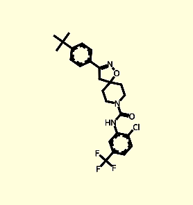 CC(C)(C)c1ccc(C2=NOC3(CCN(C(=O)Nc4cc(C(F)(F)F)ccc4Cl)CC3)C2)cc1